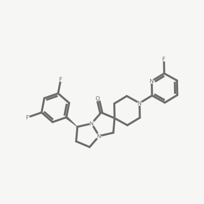 O=C1N2[C@H](c3cc(F)cc(F)c3)CCN2CC12CCN(c1cccc(F)n1)CC2